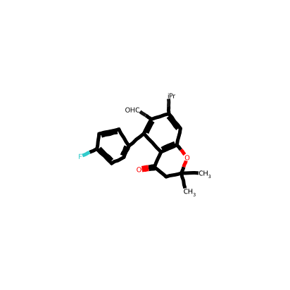 CC(C)c1cc2c(c(-c3ccc(F)cc3)c1C=O)C(=O)CC(C)(C)O2